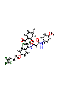 COc1ccc(NC(=O)CC(=O)NC(c2ccc(OCCCC(F)(F)F)cc2)C(F)(F)C(=O)c2ccc(C)cc2)cc1